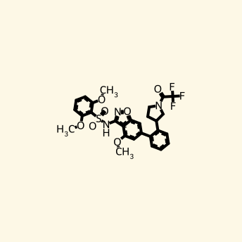 COc1cccc(OC)c1S(=O)(=O)Nc1noc2cc(-c3ccccc3C3CCN(C(=O)C(F)(F)F)C3)cc(OC)c12